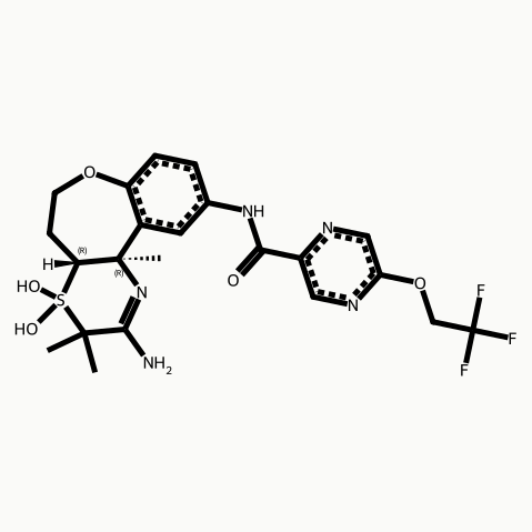 CC1(C)C(N)=N[C@]2(C)c3cc(NC(=O)c4cnc(OCC(F)(F)F)cn4)ccc3OCC[C@H]2S1(O)O